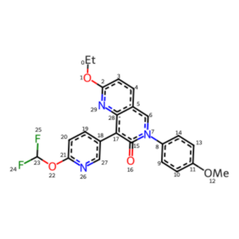 CCOc1ccc2cn(-c3ccc(OC)cc3)c(=O)c(-c3ccc(OC(F)F)nc3)c2n1